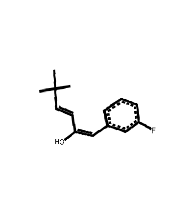 CC(C)(C)/C=C/C(O)=C\c1cccc(F)c1